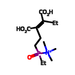 CC/C(C(=O)O)=C(\CCP(=O)(CC)[N+](C)(C)C)C(=O)O